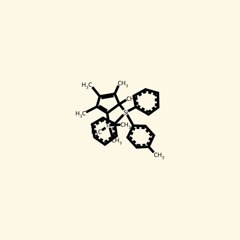 CC1=C(C)C(C)([Si](c2ccccc2)(c2ccccc2)c2ccc(C)cc2)[C]([Ti]([CH3])([CH3])[CH3])=C1C